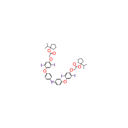 CC(C)C1(OC(=O)COc2cc(I)c(Oc3ccc([I+]c4ccc(Oc5cc(I)c(OCC(=O)OC6(C(C)C)CCCC6)cc5I)cc4)cc3)cc2I)CCCC1